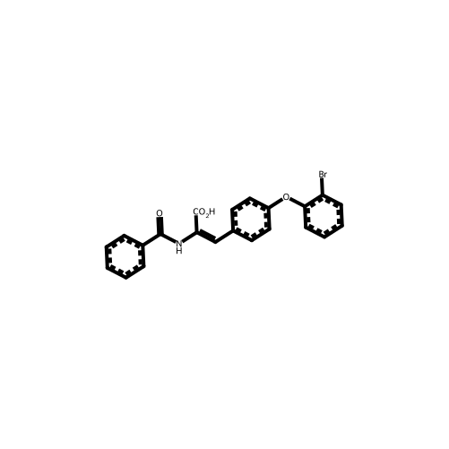 O=C(O)/C(=C\c1ccc(Oc2ccccc2Br)cc1)NC(=O)c1ccccc1